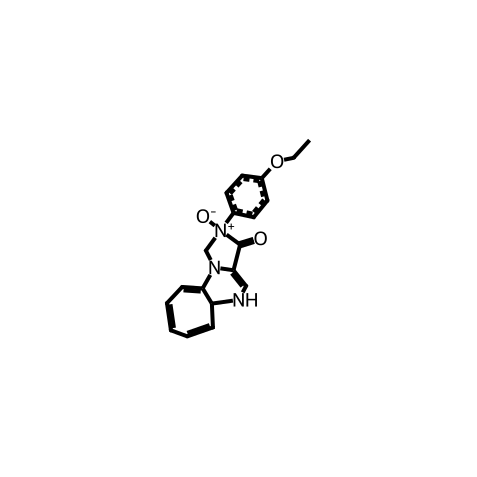 CCOc1ccc([N+]2([O-])CN3C(=CNC4C=CC=CC=C43)C2=O)cc1